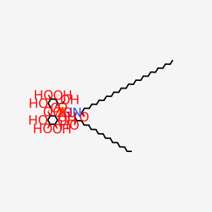 CCCCCCCCCCCCCCCCCCCCCCCCCC(=O)N[C@@H](COP(=O)(O)O[C@H]1C(O)C(O)C(O)[C@@H](O)C1O[C@H]1O[C@H](CO)[C@@H](O)C(O)C1O)[C@H](O)CCCCCCCCCCCCCCC